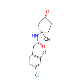 N#CC1(NC(=O)Cc2ccc(Cl)cc2Cl)CCC(=O)CC1